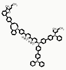 C=C/C=C(\C=C)N(c1ccccc1)c1ccc(-c2ccc(N(C(=C)/C=C\C(=C)C(=C)/C=C\C(=C)c3ccc(-n4cccc(-c5ccc(-c6cccc7c(=C)/c(=C\C=C)oc67)cc5)ccc5ccccc54)cc3)c3ccc(-c4ccc(N(C5=CC=CCC5)c5ccccc5)cc4)cc3)cc2)cc1